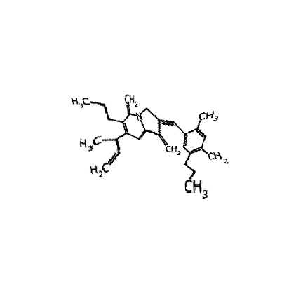 C=CC(C)C1=C(CCC)C(=C)N2C/C(=C/c3cc(CCC)c(C)cc3C)C(=C)C2C1